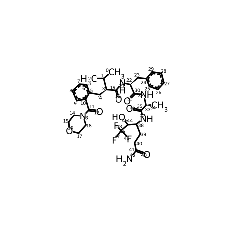 CC(C)[C@H]([C]c1ccccc1C(=O)N1CCOCC1)C(=O)N[C@@H](Cc1ccccc1)C(=O)N[C@@H](C)C(=O)NC(CCC(N)=O)C(O)C(F)(F)F